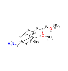 CCCC12CC3CC(CN)(C1)CC(CC(CO[N+](=O)[O-])O[N+](=O)[O-])(C3)C2